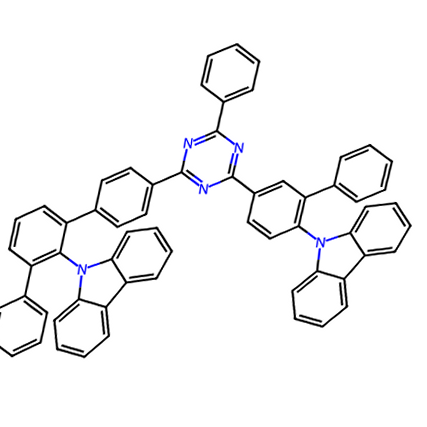 c1ccc(-c2nc(-c3ccc(-c4cccc(-c5ccccc5)c4-n4c5ccccc5c5ccccc54)cc3)nc(-c3ccc(-n4c5ccccc5c5ccccc54)c(-c4ccccc4)c3)n2)cc1